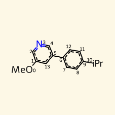 COc1cncc(-c2ccc(C(C)C)cc2)c1